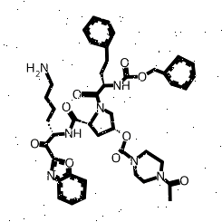 CC(=O)N1CCN(C(=O)O[C@@H]2C[C@@H](C(=O)N[C@@H](CCCCN)C(=O)c3nc4ccccc4o3)N(C(=O)[C@@H](CCc3ccccc3)NC(=O)OCc3ccccc3)C2)CC1